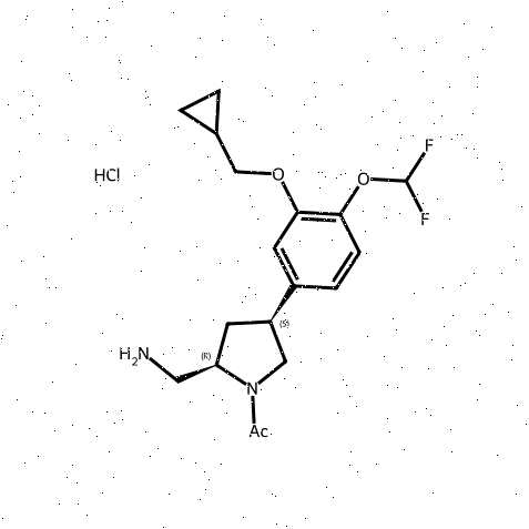 CC(=O)N1C[C@H](c2ccc(OC(F)F)c(OCC3CC3)c2)C[C@@H]1CN.Cl